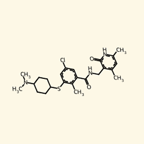 Cc1cc(C)c(CNC(=O)c2cc(Cl)cc(SC3CCC(N(C)C)CC3)c2C)c(=O)[nH]1